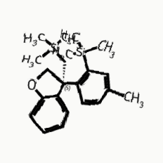 Cc1ccc([C@]2(C[Si](C)(C)C)COc3ccccc32)c([Si](C)(C)C)c1